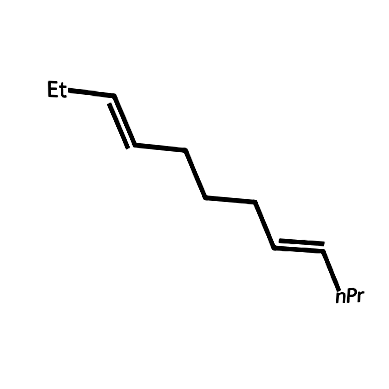 CCC=CCCCC=CCCC